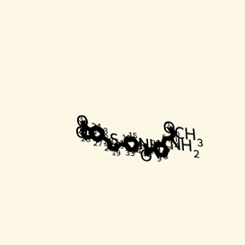 CC(=O)[C@@H](N)Cc1cccc(C(=O)Nc2ccc(-c3ccc(-c4ccc5c(c4)COC5=O)s3)cc2)c1